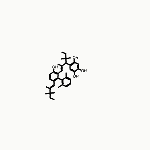 CCC(C)(C)/C(C)=C/c1ccc(O)c(/C=C(\C)C(c2cc(O)c(O)cc2O)C(C)(C)CC)c1-c1c(C)cccc1C